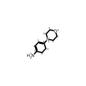 NC1=CC=C(N2CCOCC2)CC1